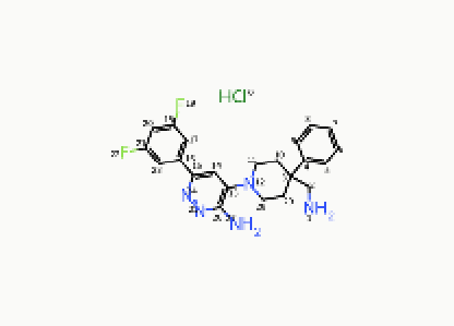 Cl.NCC1(c2ccccc2)CCN(c2cc(-c3cc(F)cc(F)c3)nnc2N)CC1